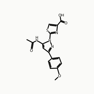 COc1ccc(-c2cc(NC(C)=O)n(-c3nc(C(=O)O)cs3)n2)cc1